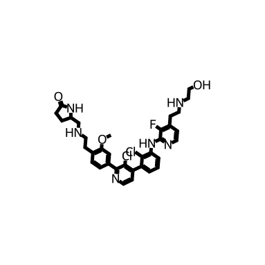 COc1cc(-c2nccc(-c3cccc(Nc4nccc(CCNCCO)c4F)c3Cl)c2Cl)ccc1CCNCC1CCC(=O)N1